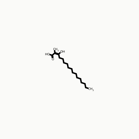 CCCCCCCCCCCCCC/C(O)=C(/C)C(=O)O